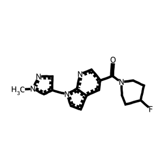 Cn1cc(-n2ccc3cc(C(=O)N4CCC(F)CC4)cnc32)cn1